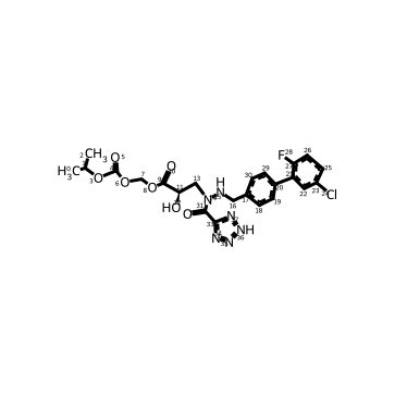 CC(C)OC(=O)OCOC(=O)[C@H](O)CN(NCc1ccc(-c2cc(Cl)ccc2F)cc1)C(=O)c1nn[nH]n1